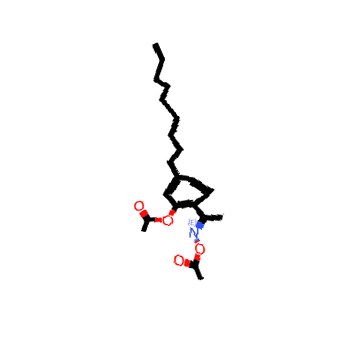 CCCCCCCCCc1ccc(/C(C)=N/OC(C)=O)c(OC(C)=O)c1